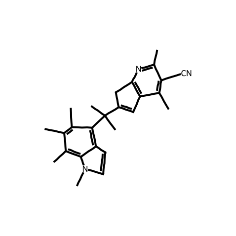 Cc1nc2c(c(C)c1C#N)C=C(C(C)(C)c1c(C)c(C)c(C)c3c1ccn3C)C2